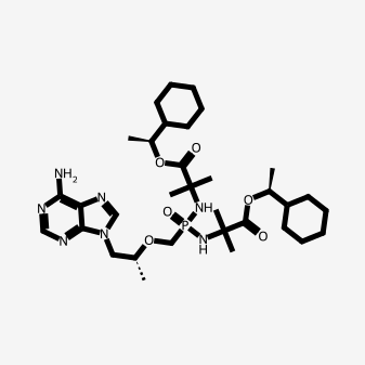 C[C@H](Cn1cnc2c(N)ncnc21)OCP(=O)(NC(C)(C)C(=O)O[C@@H](C)C1CCCCC1)NC(C)(C)C(=O)O[C@@H](C)C1CCCCC1